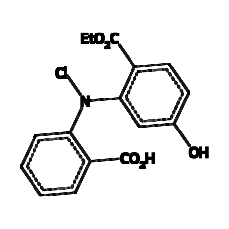 CCOC(=O)c1ccc(O)cc1N(Cl)c1ccccc1C(=O)O